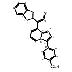 O=S=C(c1nc2ccccc2[nH]1)c1cccn2c(-c3ccc(C(=O)O)cc3)cnc12